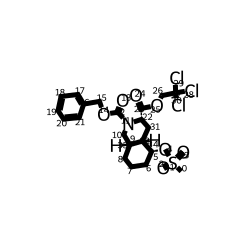 CS(=O)(=O)O[C@@H]1CCC[C@@H]2CN(C(=O)OCc3ccccc3)[C@H](C(=O)OCC(Cl)(Cl)Cl)C[C@@H]21